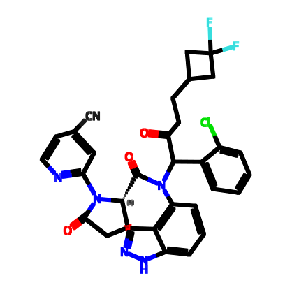 N#Cc1ccnc(N2C(=O)CC[C@H]2C(=O)N(c2cccc3[nH]ncc23)C(C(=O)CCC2CC(F)(F)C2)c2ccccc2Cl)c1